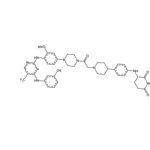 COc1cc(N2CCN(C(=O)CN3CCC(c4ccc(NC5CCC(=O)NC5=O)cc4)CC3)CC2)ccc1Nc1ncc(C(F)(F)F)c(Nc2cccc(C#N)c2)n1